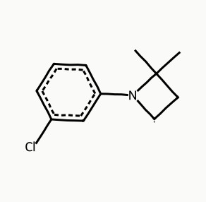 CC1(C)C[CH]N1c1cccc(Cl)c1